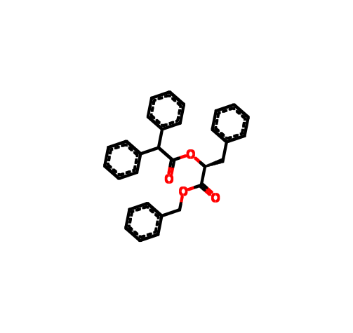 O=C(O[C@@H](Cc1ccccc1)C(=O)OCc1ccccc1)C(c1ccccc1)c1ccccc1